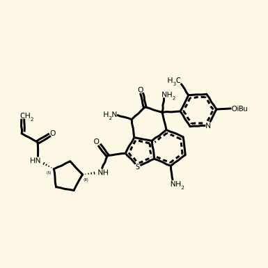 C=CC(=O)N[C@H]1CC[C@@H](NC(=O)c2sc3c(N)ccc4c3c2C(N)C(=O)C4(N)c2cnc(OCC(C)C)cc2C)C1